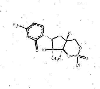 C[C@@]1(O)[C@@H]2OP(=O)(O)OC[C@H]2O[C@H]1n1ccc(N)nc1=O